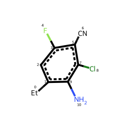 CCc1cc(F)c(C#N)c(Cl)c1N